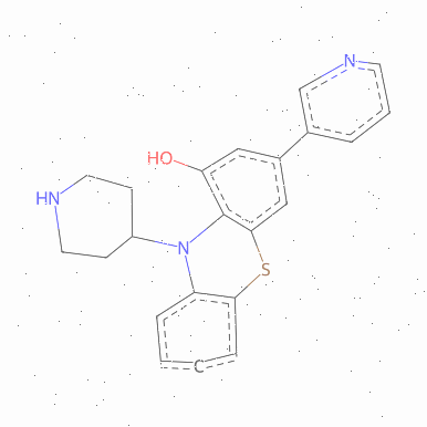 Oc1cc(-c2cccnc2)cc2c1N(C1CCNCC1)c1ccccc1S2